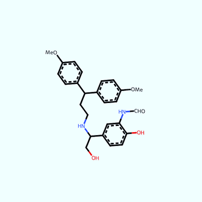 COc1ccc(C(CCNC(CO)c2ccc(O)c(NC=O)c2)c2ccc(OC)cc2)cc1